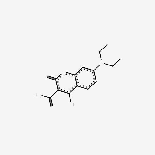 CCN(CC)c1ccc2c(Cl)c(C(=O)O)c(=O)oc2c1